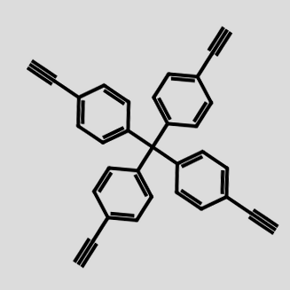 C#Cc1ccc(C(c2ccc(C#C)cc2)(c2ccc(C#C)cc2)c2ccc(C#C)cc2)cc1